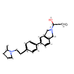 CC1CCCN1CCc1ccc(-c2ccc3c(c2)CN(C(O)C=O)C3)cc1